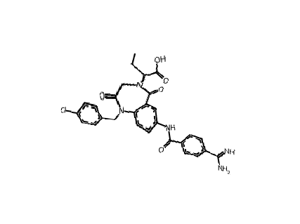 CCC(C(=O)O)N1CC(=O)N(Cc2ccc(Cl)cc2)c2ccc(NC(=O)c3ccc(C(=N)N)cc3)cc2C1=O